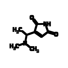 CC(C1=CC(=O)NC1=O)N(C)C